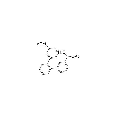 CCCCCCCCc1cccc(-c2ccccc2-c2cccc(C(C)OC(C)=O)c2)c1